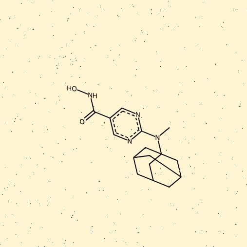 CN(c1ncc(C(=O)NO)cn1)C12CC3CC(CC(C3)C1)C2